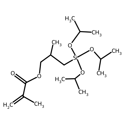 C=C(C)C(=O)OCC(C)C[Si](OC(C)C)(OC(C)C)OC(C)C